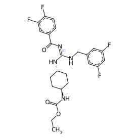 CCOC(=O)N[C@H]1CC[C@H](N/C(=N\C(=O)c2ccc(F)c(F)c2)NCc2cc(F)cc(F)c2)CC1